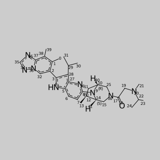 Cc1c(-c2[nH]c3ccc(N4[C@@H]5C[C@H](C)[C@H]4CN(C(=O)CN(C)C(C)C)C5)nc3c2C(C)C)cn2ncnc2c1C